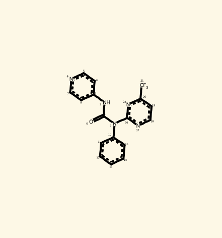 O=C(Nc1ccncc1)N(c1ccccc1)c1nccc(C(F)(F)F)n1